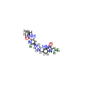 [2H]C([2H])([2H])NC(=O)c1ccc(N2CCN(Cc3ccc4nc(CC(F)F)c(=O)[nH]c4c3)CC2)c(F)n1